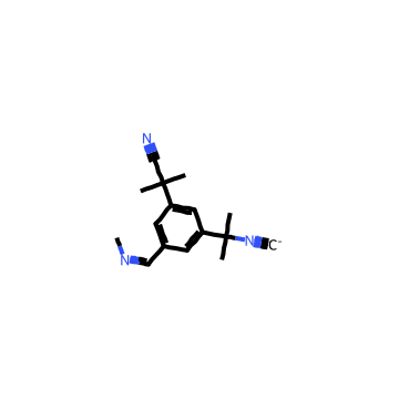 [C-]#[N+]C(C)(C)c1cc(/C=N\C)cc(C(C)(C)C#N)c1